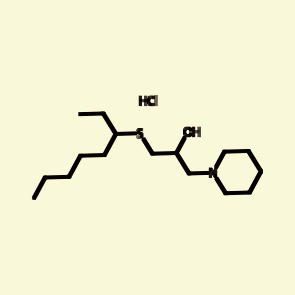 CCCCCC(CC)SCC(O)CN1CCCCC1.Cl